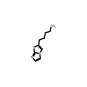 CCCCCc1cn2c[c]nc2s1